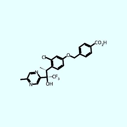 Cc1cnc([C@](O)([C@H](C)c2ccc(OCc3ccc(C(=O)O)cc3)cc2Cl)C(F)(F)F)cn1